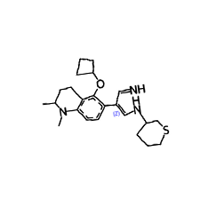 CC1CCc2c(ccc(/C(C=N)=C/NC3CCCSC3)c2OC2CCC2)N1C